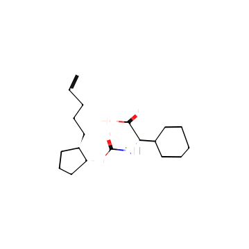 C=CCCC[C@@H]1CCC[C@H]1OC(=O)N[C@H](C(=O)O)C1CCCCC1